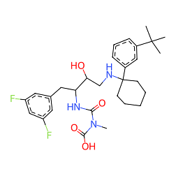 CN(C(=O)O)C(=O)NC(Cc1cc(F)cc(F)c1)C(O)CNC1(c2cccc(C(C)(C)C)c2)CCCCC1